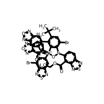 CCOC(=O)c1c(N2O[N+](c3cc(Br)c4nsnc4c3)(c3ccc4nonc4c3Cl)c3c(-c4cc5nonc5cc4[N+](=O)[O-])c(C(C)(C)C)[c]c(Br)c32)ccc2nsnc12